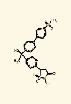 CC(S)(c1ccc(-c2ccc(S(C)(=O)=O)cc2)cc1)c1ccc(C2CC(=O)N(C(C)(C)C)S2(=O)=O)cc1